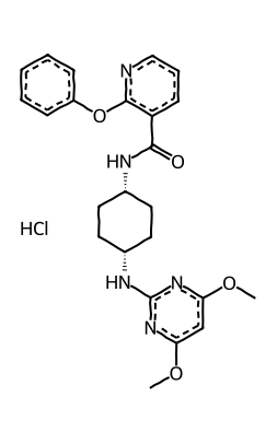 COc1cc(OC)nc(N[C@H]2CC[C@@H](NC(=O)c3cccnc3Oc3ccccc3)CC2)n1.Cl